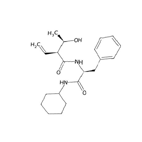 C=C[C@H](C(=O)N[C@@H](Cc1ccccc1)C(=O)NC1CCCCC1)[C@@H](C)O